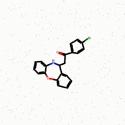 O=C(CC1Nc2ccccc2Oc2ccccc21)c1ccc(Br)cc1